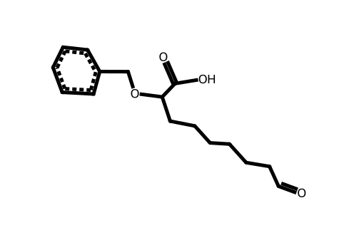 O=CCCCCCCC(OCc1ccccc1)C(=O)O